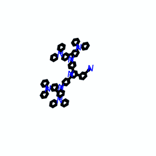 N#Cc1cccc(-c2cc(-c3ccc(-n4c5ccc(N(c6ccccc6)c6ccccc6)cc5c5cc(N(c6ccccc6)c6ccccc6)ccc54)cc3)nc(-c3ccc(-n4c5ccc(N(c6ccccc6)c6ccccc6)cc5c5cc(N(c6ccccc6)c6ccccc6)ccc54)cc3)c2)c1